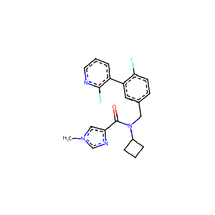 Cn1cnc(C(=O)N(Cc2ccc(F)c(-c3cccnc3F)c2)C2CCC2)c1